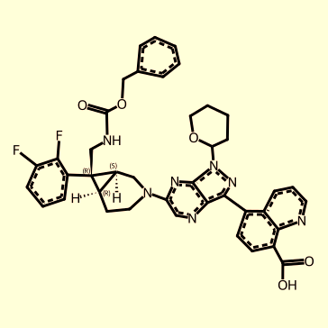 O=C(NC[C@]1(c2cccc(F)c2F)[C@@H]2CCN(c3cnc4c(-c5ccc(C(=O)O)c6ncccc56)nn(C5CCCCO5)c4n3)C[C@@H]21)OCc1ccccc1